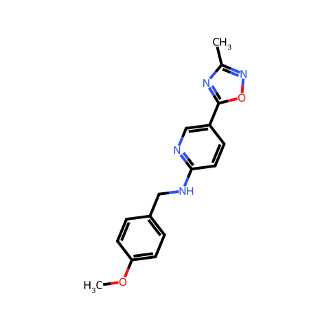 COc1ccc(CNc2ccc(-c3nc(C)no3)cn2)cc1